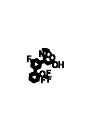 O=C(O)CC(c1cc(F)cc(-c2ccccc2OC(F)(F)F)c1)c1ncco1